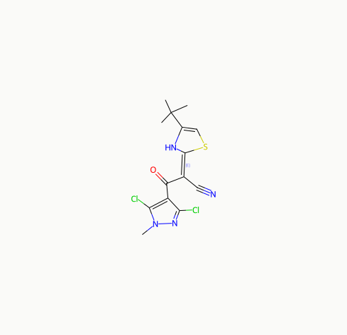 Cn1nc(Cl)c(C(=O)/C(C#N)=C2\NC(C(C)(C)C)=CS2)c1Cl